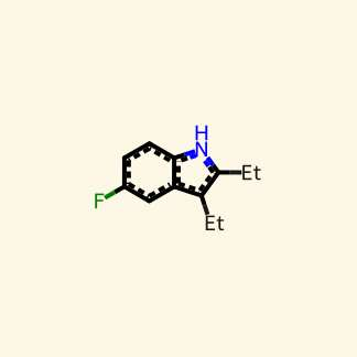 CCc1[nH]c2ccc(F)cc2c1CC